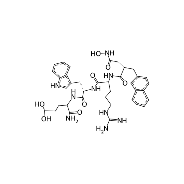 N=C(N)NCCCC(NC(=O)[C@H](CC(=O)NO)Cc1ccc2ccccc2c1)C(=O)N[C@@H](Cc1c[nH]c2ccccc12)C(=O)NC(CCC(O)O)C(N)=O